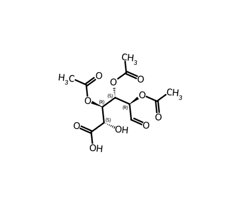 CC(=O)O[C@@H]([C@H](OC(C)=O)[C@H](O)C(=O)O)[C@H](C=O)OC(C)=O